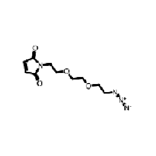 [N-]=[N+]=NCCOCCOCCN1C(=O)C=CC1=O